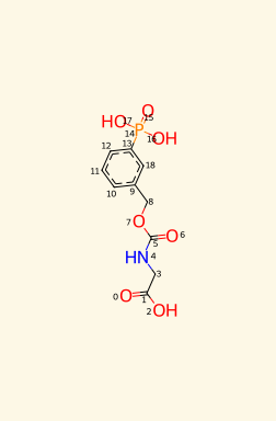 O=C(O)CNC(=O)OCc1cccc(P(=O)(O)O)c1